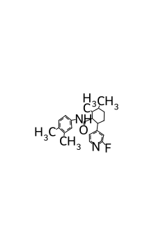 Cc1ccc(NC(=O)C2C(c3ccnc(F)c3)CCC(C)C2C)cc1C